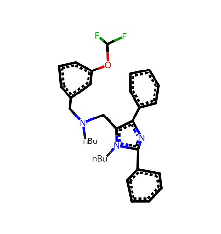 CCCCN(Cc1cccc(OC(F)F)c1)Cc1c(-c2ccccc2)nc(-c2ccccc2)n1CCCC